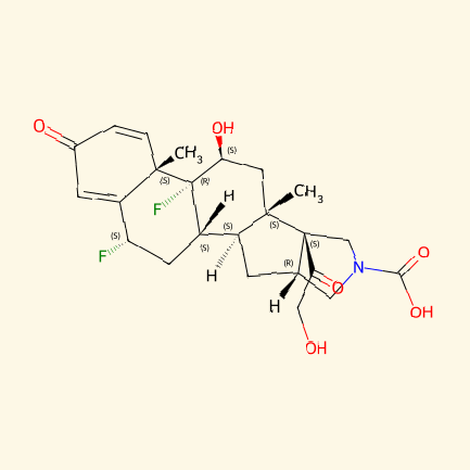 C[C@]12C=CC(=O)C=C1[C@@H](F)C[C@H]1[C@@H]3C[C@H]4CN(C(=O)O)C[C@@]4(C(=O)CO)[C@@]3(C)C[C@H](O)[C@@]12F